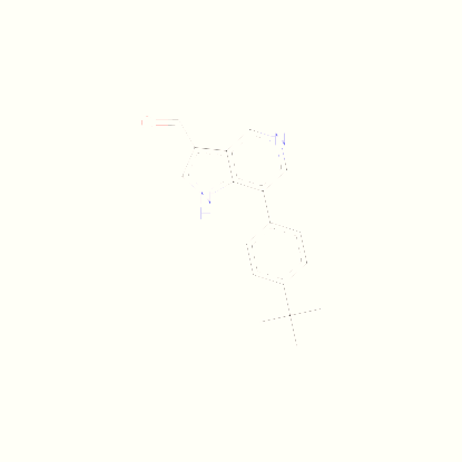 CC(C)(C)c1ccc(-c2cncc3c(C=O)c[nH]c23)cc1